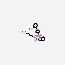 O=C(O)CCCCCNC(=O)[C@@H]1Cc2ccccc2N1S(=O)(=O)c1ccc(-c2ccccc2C(F)(F)F)cc1